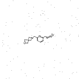 [N-]=[N+]=NCc1cccc(CN2CC3(COC3)C2)n1